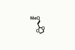 COC=CC1OCCO1